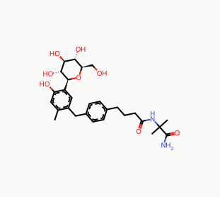 Cc1cc(O)c([C@@H]2O[C@H](CO)[C@@H](O)[C@H](O)[C@H]2O)cc1Cc1ccc(CCCC(=O)NC(C)(C)C(N)=O)cc1